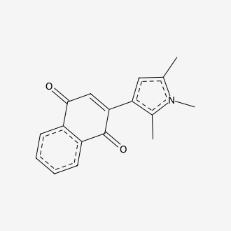 Cc1cc(C2=CC(=O)c3ccccc3C2=O)c(C)n1C